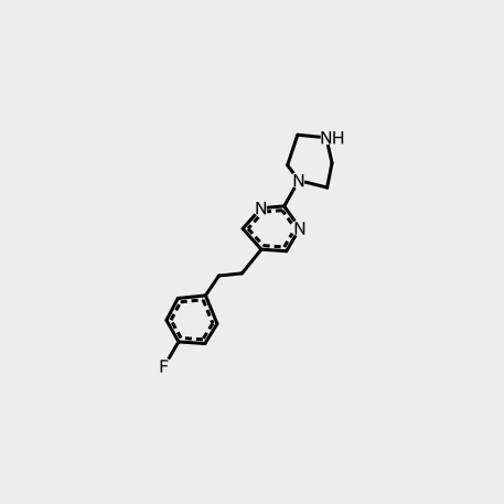 Fc1ccc(CCc2cnc(N3CCNCC3)nc2)cc1